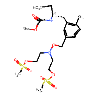 Cc1ccc(CON(CCOS(C)(=O)=O)CCOS(C)(=O)=O)cc1C[C@@H](CC(=O)O)NC(=O)OC(C)(C)C